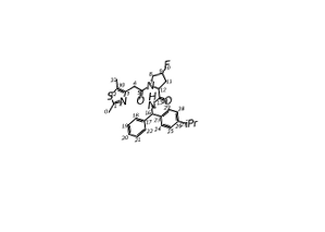 Cc1nc(CC(=O)N2CC(F)CC2C(=O)NC(c2ccccc2)c2ccc(C(C)C)cc2)c(C)s1